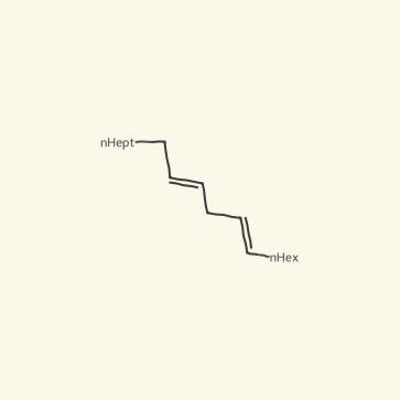 [CH2]CCCCCC=CCC=CCCCCCCCC